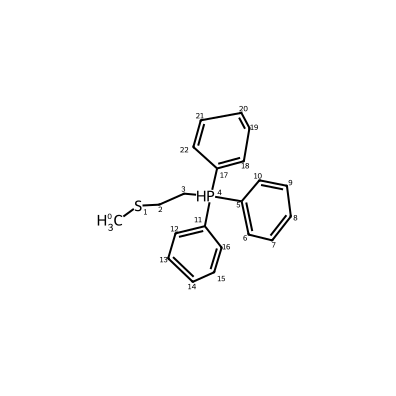 CSCC[PH](c1ccccc1)(c1ccccc1)c1ccccc1